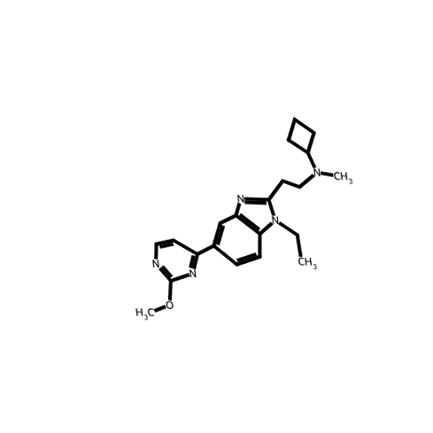 CCn1c(CCN(C)C2CCC2)nc2cc(-c3ccnc(OC)n3)ccc21